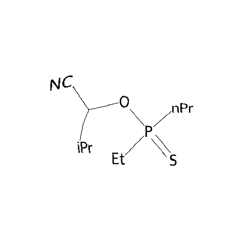 CCCP(=S)(CC)OC(C#N)C(C)C